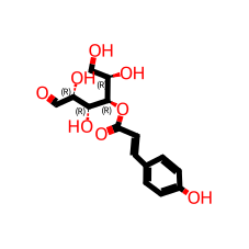 O=C[C@H](O)[C@@H](O)[C@H](OC(=O)C=Cc1ccc(O)cc1)[C@H](O)CO